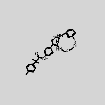 Cc1ccc(C(C)(C)C(=O)Nc2ccc(-c3cnc4nc3NCCCNSc3cccc(c3)N4)cc2)cc1